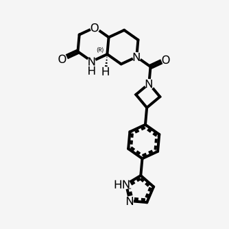 O=C1COC2CCN(C(=O)N3CC(c4ccc(-c5ccn[nH]5)cc4)C3)C[C@H]2N1